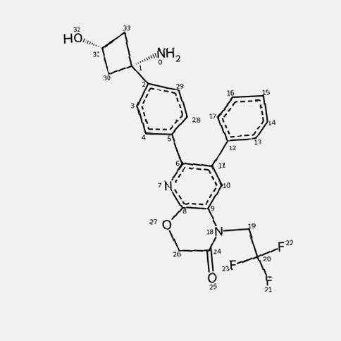 N[C@]1(c2ccc(-c3nc4c(cc3-c3ccccc3)N(CC(F)(F)F)C(=O)CO4)cc2)C[C@H](O)C1